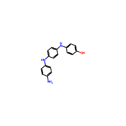 Nc1ccc(Nc2ccc(Nc3ccc(O)cc3)cc2)cc1